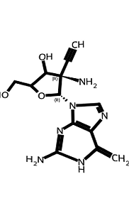 C#C[C@@]1(N)C(O)C(CO)O[C@H]1n1cnc2c1N=C(N)NC2=C